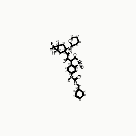 CC(=O)C(C(=O)c1nn(C2CCCCO2)c2c1C[C@@H]1C(F)(F)[C@]1(C)C2)c1ccc(N(C)C(=O)OCc2ccccc2)cc1[N+](=O)[O-]